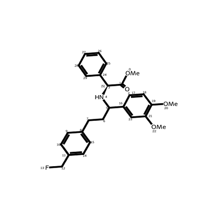 COC(=O)[C@@H](NC(CCc1ccc(CF)cc1)c1ccc(OC)c(OC)c1)c1ccccc1